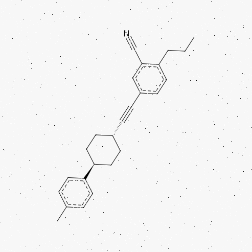 CCCc1ccc(C#C[C@H]2CC[C@H](c3ccc(C)cc3)CC2)cc1C#N